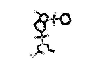 C=CCN(CC(N)=O)S(=O)(=O)c1ccc2c(Cl)cn(S(=O)(=O)c3ccccc3)c2c1